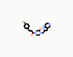 O=C(/C=C/c1ccc(Cl)cc1)N1CCN(Cc2cc3cnccc3[nH]2)C(=O)C1